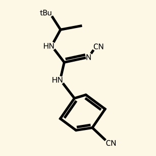 CC(NC(=NC#N)Nc1ccc(C#N)cc1)C(C)(C)C